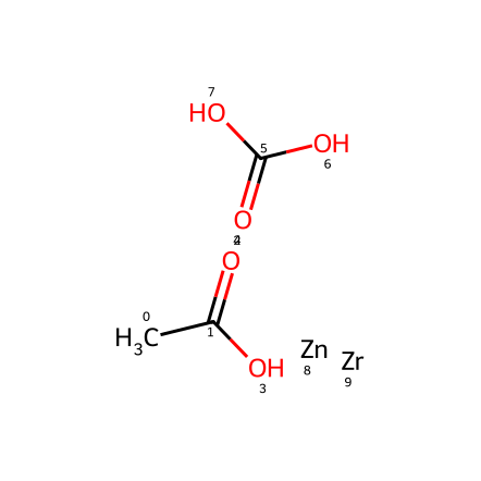 CC(=O)O.O=C(O)O.[Zn].[Zr]